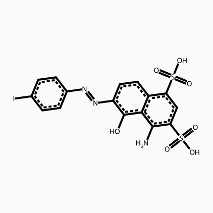 Nc1c(S(=O)(=O)O)cc(S(=O)(=O)O)c2ccc(N=Nc3ccc(I)cc3)c(O)c12